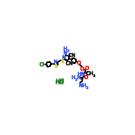 C[C@H](NC(=O)[C@@H](N)CCN)C(=O)OCCOc1ccc(-c2c(C#N)c(N)nc(SCc3csc(-c4ccc(Cl)cc4)n3)c2C#N)cc1.Cl.Cl